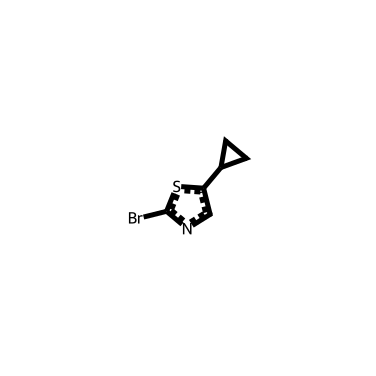 Brc1ncc(C2CC2)s1